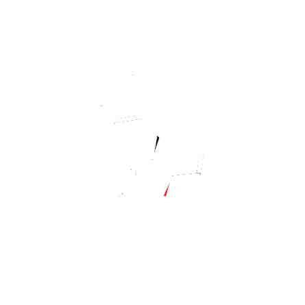 CCOC(=O)N[C@@H](Cc1ccccc1)[C@H](O)C(=O)OC